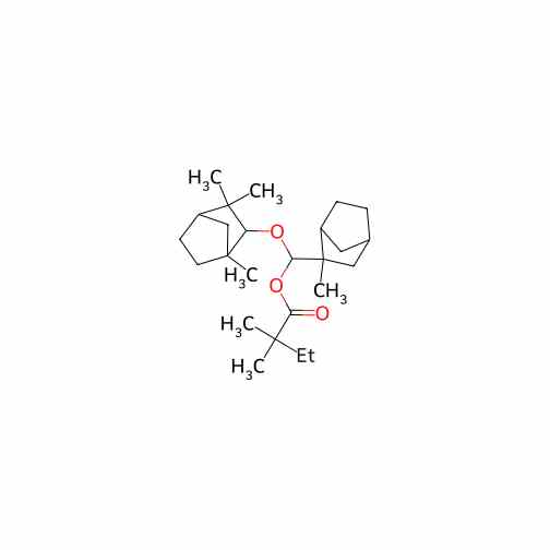 CCC(C)(C)C(=O)OC(OC1C2(C)CCC(C2)C1(C)C)C1(C)CC2CCC1C2